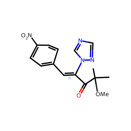 COC(C)(C)C(=O)/C(=C/c1ccc([N+](=O)[O-])cc1)n1cncn1